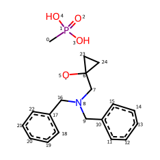 CP(=O)(O)O.[O]C1(CN(Cc2ccccc2)Cc2ccccc2)CC1